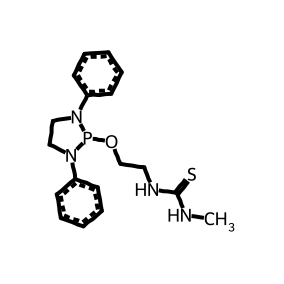 CNC(=S)NCCOP1N(c2ccccc2)CCN1c1ccccc1